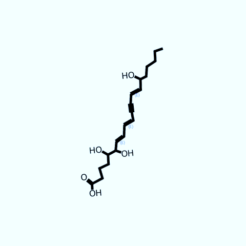 CCCCCC(O)/C=C/C#C/C=C/C=C/C(O)C(O)CCCC(=O)O